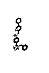 c1ccc(Cn2nnnc2-c2ccc(NCc3ccc(C4CCCCC4)cn3)cc2)cc1